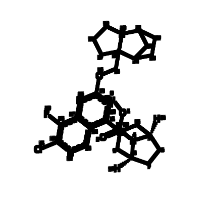 CC(C)(C)OC(=O)N1[C@@H]2CC[C@H]1CN(c1nc(OCC34CCCN3C3CCC4C3)nc3c(F)c(Cl)ncc13)C2